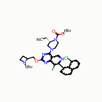 CC(C)(C)OC(=O)N1CCN(c2nc(OCC3CCN3C(C)(C)C)nc3c(F)c(-c4cccc5cccc(Cl)c45)ncc23)C[C@@H]1CC#N